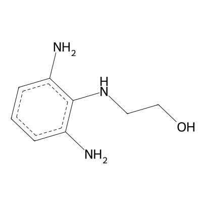 Nc1cccc(N)c1NCCO